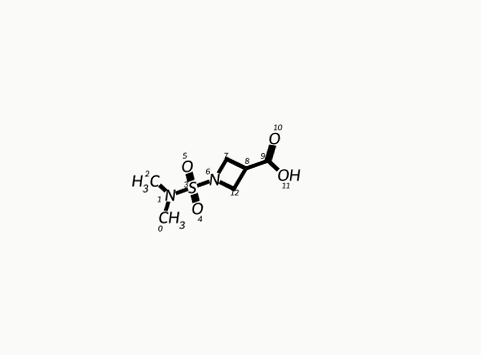 CN(C)S(=O)(=O)N1CC(C(=O)O)C1